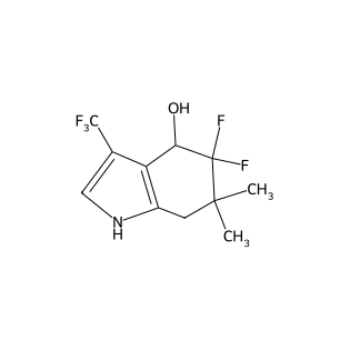 CC1(C)Cc2[nH]cc(C(F)(F)F)c2C(O)C1(F)F